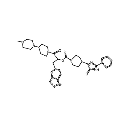 CN1CCN(C2CCN(C(=O)C(Cc3ccc4[nH]ncc4c3)OC(=O)N3CCC(n4nc(-c5ccccc5)[nH]c4=O)CC3)CC2)CC1